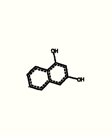 Oc1cc(O)c2cc[c]cc2c1